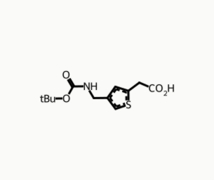 CC(C)(C)OC(=O)NCc1csc(CC(=O)O)c1